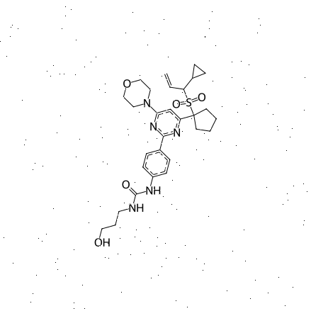 C=CC(C1CC1)S(=O)(=O)C1(c2cc(N3CCOCC3)nc(-c3ccc(NC(=O)NCCCO)cc3)n2)CCCC1